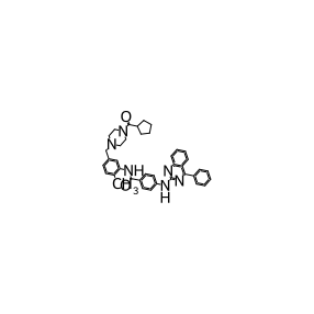 Cc1ccc(CN2CCN(C(=O)C3CCCC3)CC2)cc1NC(=O)c1ccc(Nc2nc(-c3ccccc3)c3ccccc3n2)cc1